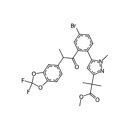 COC(=O)C(C)(C)c1cc(-c2ccc(Br)cc2C(=O)C(C)c2ccc3c(c2)OC(F)(F)O3)n(C)n1